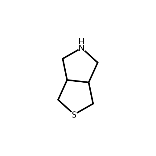 C1NCC2CSCC12